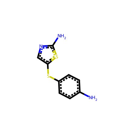 Nc1ccc(Sc2cnc(N)s2)cc1